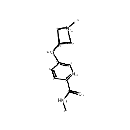 CNC(=O)c1ccc(OC2CN(I)C2)cn1